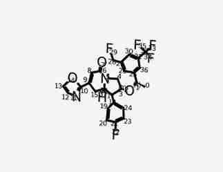 C[C@@H](O[C@H]1CN2C(=O)C=C(c3ncco3)C[C@H]2C1c1ccc(F)cc1)c1cc(CF)cc(C(F)(F)F)c1